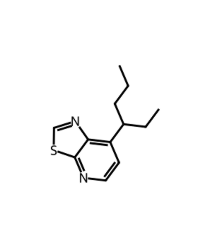 CCCC(CC)c1ccnc2scnc12